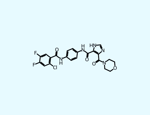 O=C(Nc1ccc(NC(=O)c2[nH]cnc2C(=O)N2CCOCC2)cc1)c1cc(F)c(F)cc1Cl